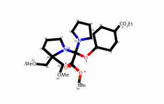 CCOC(=O)C1CCC(OC(C(=O)OC(C)(C)C)(N2CCCC2)N2CCCC2(COC)COC)CC1